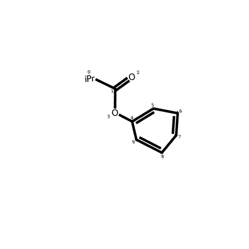 CC(C)C(=O)Oc1c[c]ccc1